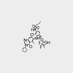 CCCS(=O)(=O)Nc1ccc(F)c(Nc2ccc3ncn(C4CCCC4)c(=O)c3c2C)c1Cl.O=C(O)C(F)(F)F